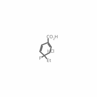 CCC1(F)C=CC(C(=O)O)=CC1.Cl